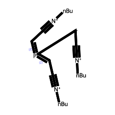 CCCC[N+]#C[CH]/P(=C\C#[N+]CCCC)=C\C#[N+]CCCC